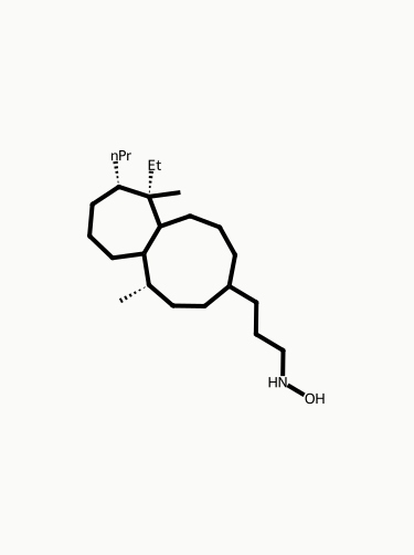 CCC[C@H]1CCCC2C(CCCC(CCCNO)CC[C@@H]2C)[C@@]1(C)CC